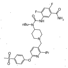 CCCCN(C(=O)Nc1cc(C(N)=O)c(F)cc1F)C1CCN(Cc2ccc(Oc3ccc(S(C)(=O)=O)cc3)nc2C(C)C)CC1